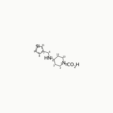 O=C(O)N1CCC(NCc2ccsc2)CC1